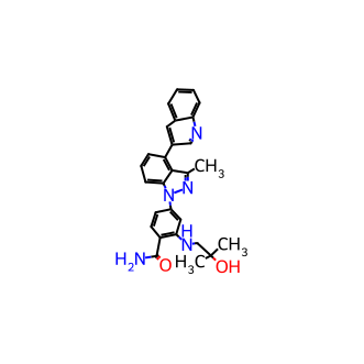 Cc1nn(-c2ccc(C(N)=O)c(NCC(C)(C)O)c2)c2cccc(-c3cnc4ccccc4c3)c12